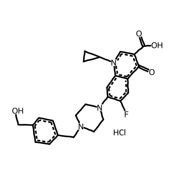 Cl.O=C(O)c1cn(C2CC2)c2cc(N3CCN(Cc4ccc(CO)cc4)CC3)c(F)cc2c1=O